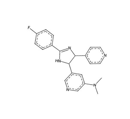 CN(C)c1cncc(C2NC(c3ccc(F)cc3)=NC2c2ccncc2)c1